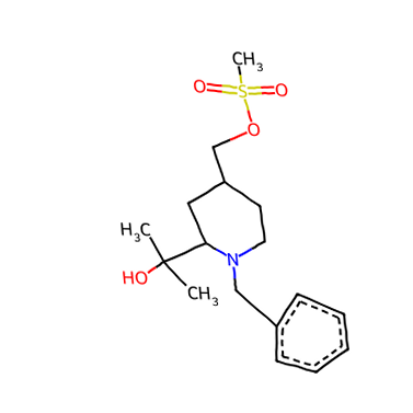 CC(C)(O)C1CC(COS(C)(=O)=O)CCN1Cc1ccccc1